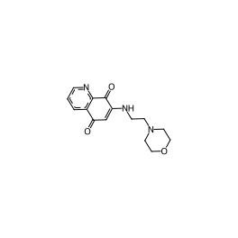 O=C1C=C(NCCN2CCOCC2)C(=O)c2ncccc21